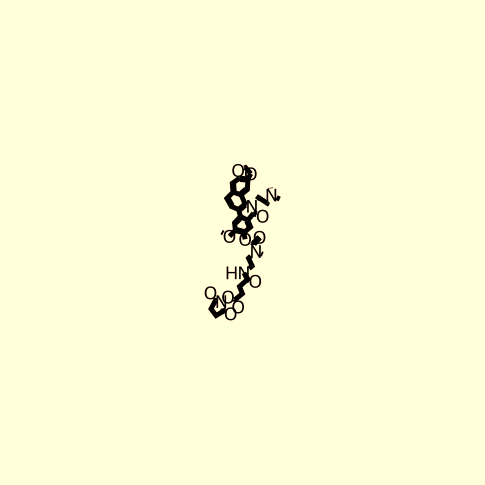 COc1cc2c(cc1OC(=O)N(C)CCNC(=O)CCC(=O)ON1C(=O)CCC1=O)c(=O)n(CCN(C)C)c1c3cc4c(cc3ccc21)OCO4